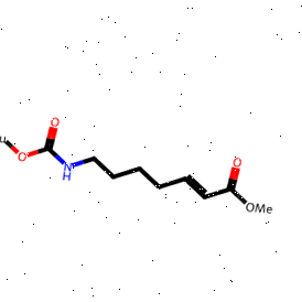 COC(=O)/C=C/CCCCNC(=O)OC(C)(C)C